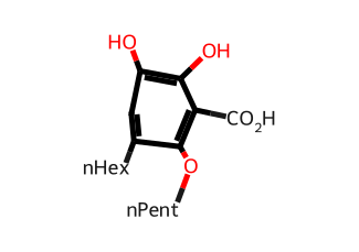 CCCCCCc1cc(O)c(O)c(C(=O)O)c1OCCCCC